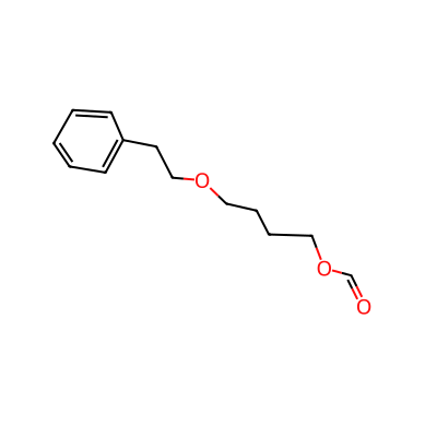 O=COCCCCOCCc1ccccc1